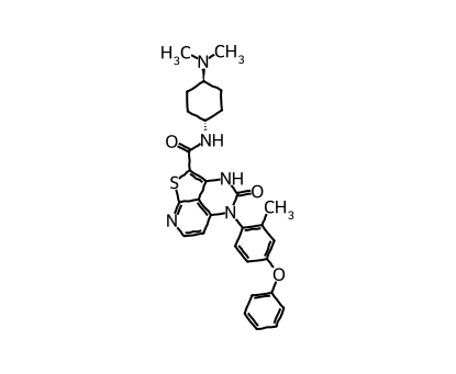 Cc1cc(Oc2ccccc2)ccc1N1C(=O)Nc2c(C(=O)N[C@H]3CC[C@H](N(C)C)CC3)sc3nccc1c23